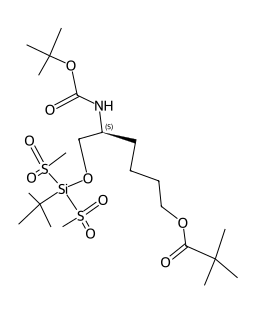 CC(C)(C)OC(=O)N[C@@H](CCCCOC(=O)C(C)(C)C)CO[Si](C(C)(C)C)(S(C)(=O)=O)S(C)(=O)=O